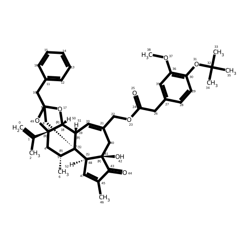 C=C(C)[C@]12C[C@@H](C)[C@@]34CC(Cc5ccccc5)(O[C@@H]1[C@@H]3C=C(COC(=O)Cc1ccc(OC(C)(C)C)c(OC)c1)C[C@]1(O)C(=O)C(C)=C[C@@H]41)O2